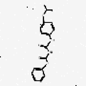 CC(C)Oc1ccc(NC(=O)NC(=O)Oc2ccccc2)cc1